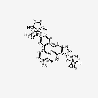 CC(C)(O)Cn1nnc2cc(-c3ccc(C(=O)N4[C@@H]5CC[C@H]4[C@@H](N)C5)cc3-c3ccc(C#N)c(F)c3)c(F)c(Br)c21